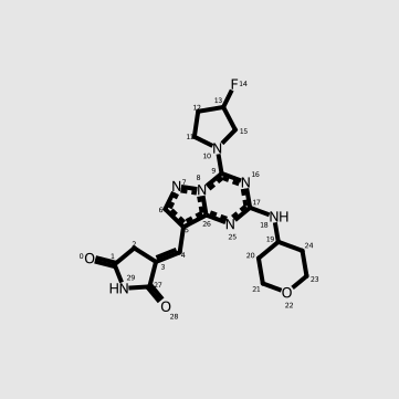 O=C1C/C(=C\c2cnn3c(N4CCC(F)C4)nc(NC4CCOCC4)nc23)C(=O)N1